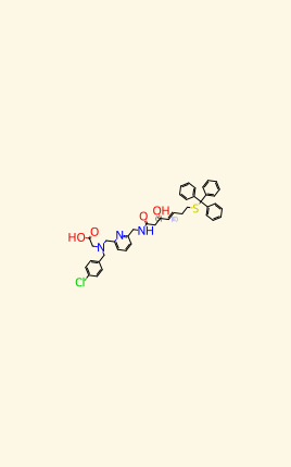 O=C(O)CN(Cc1ccc(Cl)cc1)Cc1cccc(CNC(=O)C[C@H](O)/C=C/CCSC(c2ccccc2)(c2ccccc2)c2ccccc2)n1